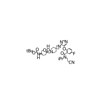 CC(C)N(CCC#N)C(=O)c1cc(F)ccc1Oc1cncnc1N1CC2(CCN(C[C@@]3(O)CC[C@@H](NC(=O)OC(C)(C)C)CO3)CC2)C1